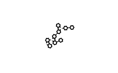 c1ccc(-c2ccc(-n3c4ccccc4c4cc(-c5ccc6c(c5)c5c(-c7ccccc7)cccc5n6-c5cccc6sc7ccccc7c56)ccc43)cc2)cc1